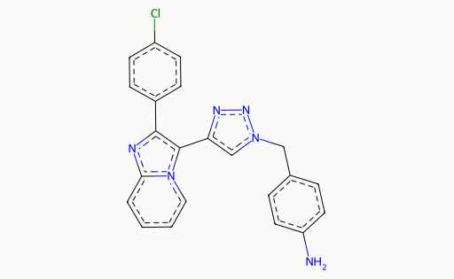 Nc1ccc(Cn2cc(-c3c(-c4ccc(Cl)cc4)nc4ccccn34)nn2)cc1